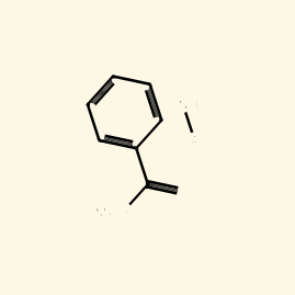 CC(N)=O.COC(=O)c1ccccc1